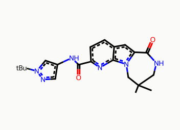 CC1(C)CNC(=O)c2cc3ccc(C(=O)Nc4cnn(C(C)(C)C)c4)nc3n2C1